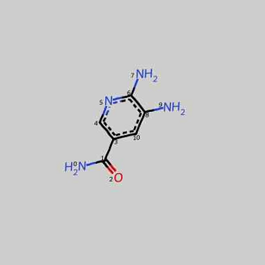 NC(=O)c1cnc(N)c(N)c1